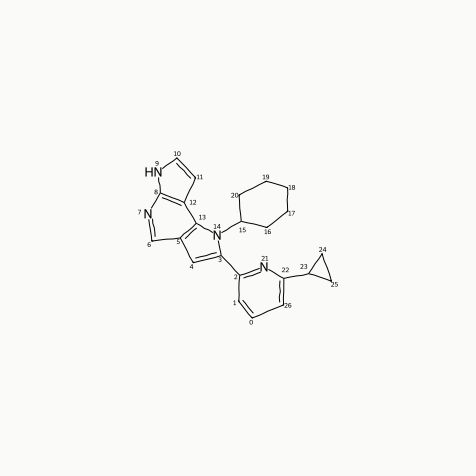 c1cc(-c2cc3cnc4[nH]ccc4c3n2C2CCCCC2)nc(C2CC2)c1